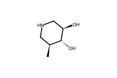 C[C@H]1CNC[C@@H](O)[C@@H]1O